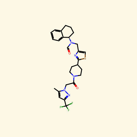 Cc1cc(C(F)(F)F)nn1CC(=O)N1CCC(c2nc(CN(C=O)[C@@H]3CCCc4ccccc43)cs2)CC1